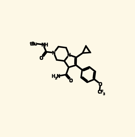 CC(C)(C)NC(=O)N1CCN2C(C3CC3)=C(c3ccc(OC(F)(F)F)cc3)C(C(N)=O)C2C1